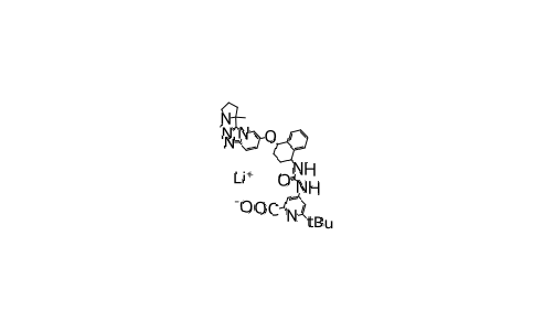 CN1CCCC1(C)c1nnc2ccc(O[C@@H]3CC[C@H](NC(=O)Nc4cc(C(=O)[O-])nc(C(C)(C)C)c4)c4ccccc43)cn12.[Li+]